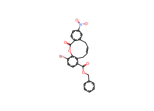 O=C1Oc2c(Br)ccc(C(=O)OCc3ccccc3)c2C/C=C\Cc2cc([N+](=O)[O-])ccc21